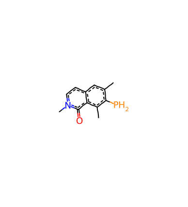 Cc1cc2ccn(C)c(=O)c2c(C)c1P